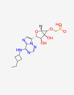 CCC1CC(Nc2ncnn3c([C@@H]4O[C@@H]5C(OC[PH](=O)O)[C@]5(O)[C@H]4O)cnc23)C1